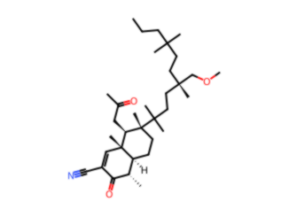 CCCC(C)(C)CC[C@@](C)(CCC(C)(C)[C@]1(C)CC[C@H]2[C@H](C)C(=O)C(C#N)=C[C@]2(C)[C@H]1CC(C)=O)COC